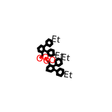 CCc1ccc(-c2cccc(C(=O)OOC(=O)c3cccc(-c4ccc(CC)cc4)c3-c3ccc(CC)cc3)c2-c2ccc(CC)cc2)cc1